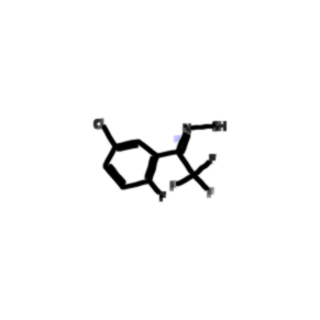 Fc1ccc(Cl)cc1/C(=N/S)C(F)(F)F